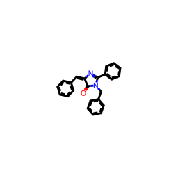 O=C1/C(=C\c2ccccc2)N=C(c2ccccc2)N1Cc1ccccc1